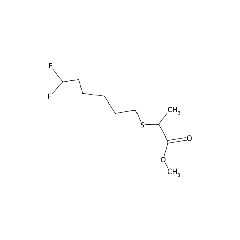 COC(=O)C(C)SCCCCCC(F)F